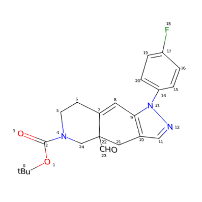 CC(C)(C)OC(=O)N1CCC2=Cc3c(cnn3-c3ccc(F)cc3)CC2(C=O)C1